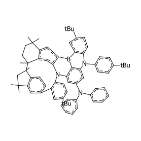 CC(C)(C)c1ccc(N2c3ccc(C(C)(C)C)cc3B3c4cc5c6cc4N(c4ccc(C(C)(C)C)cc4-c4ccc7c(c4)C(C)(C)CC7(C)C6(C)CCC5(C)C)c4cc(N(c5ccccc5)c5ccccc5)cc2c43)cc1